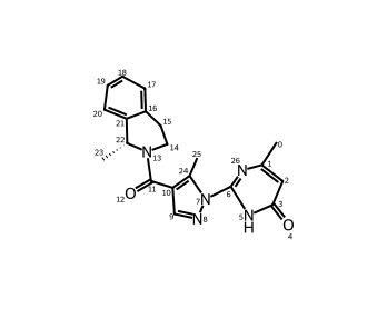 Cc1cc(=O)[nH]c(-n2ncc(C(=O)N3CCc4ccccc4[C@H]3C)c2C)n1